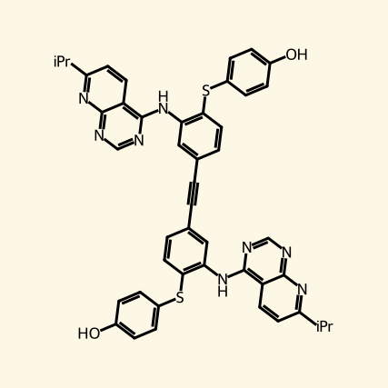 CC(C)c1ccc2c(Nc3cc(C#Cc4ccc(Sc5ccc(O)cc5)c(Nc5ncnc6nc(C(C)C)ccc56)c4)ccc3Sc3ccc(O)cc3)ncnc2n1